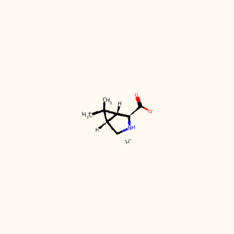 CC1(C)[C@@H]2[C@@H](C(=O)[O-])NC[C@@H]21.[Li+]